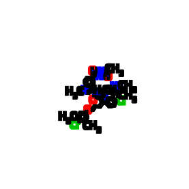 CC(=O)NNC(=O)c1ccc2c(c1)c(N1CC(C)n3c(c(CCCOc4cc(C)c(Cl)c(C)c4)c4ccc(Cl)c(-c5c(C)nn(C)c5C)c43)C1=O)cn2C